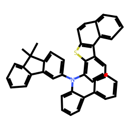 CC1(C)c2ccccc2-c2cc(N(c3ccccc3-c3ccccc3)c3cccc4c3sc3ccc5ccccc5c34)ccc21